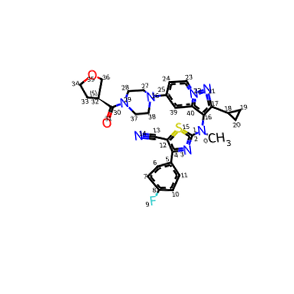 CN(c1nc(-c2ccc(F)cc2)c(C#N)s1)c1c(C2CC2)nn2ccc(N3CCN(C(=O)[C@H]4CCOC4)CC3)cc12